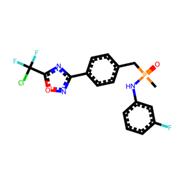 CP(=O)(Cc1ccc(-c2noc(C(F)(F)Cl)n2)cc1)Nc1cccc(F)c1